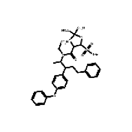 CNS(=O)(=O)C1OC(C(=O)O)(C(=O)O)OC1C(=O)N(CC(=O)O)C(C)C(CCc1ccccc1)c1ccc(Oc2ccccc2)cc1